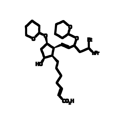 CCCC(CC)CC(/C=C/[C@@H]1[C@@H](CCCC/C=C/C(=O)O)[C@@H](O)C[C@H]1OC1CCCCO1)OC1CCCCO1